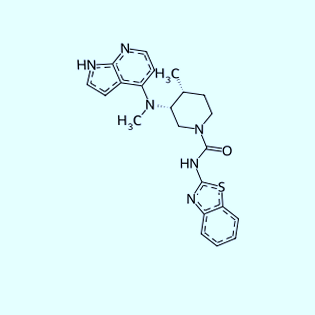 C[C@@H]1CCN(C(=O)Nc2nc3ccccc3s2)C[C@@H]1N(C)c1ccnc2[nH]ccc12